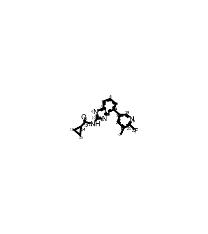 Cc1cc(-c2cccc3nc(NC(=O)C4CC4)nn23)cnc1F